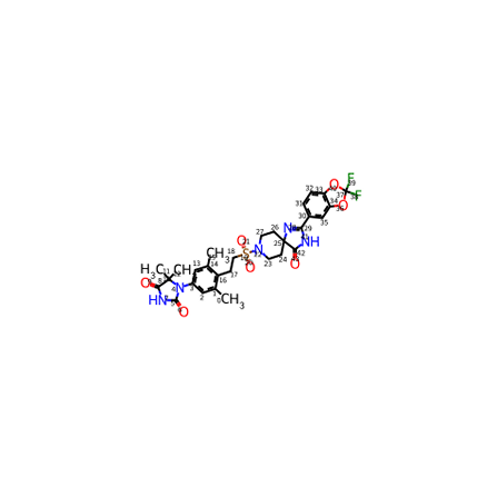 Cc1cc(N2C(=O)NC(=O)C2(C)C)cc(C)c1CCS(=O)(=O)N1CCC2(CC1)N=C(c1ccc3c(c1)OC(F)(F)O3)NC2=O